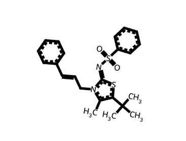 Cc1c(C(C)(C)C)s/c(=N\S(=O)(=O)c2ccccc2)n1C/C=C/c1ccccc1